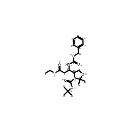 CCOC(=O)CC(NC(=O)OCc1ccccc1)C1COC(C)(C)N1C(=O)OC(C)(C)C